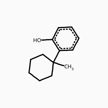 CC1(c2ccccc2O)CCCCC1